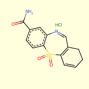 Cl.NC(=O)c1ccc2c(c1)N=CC1=C(C=CCC1)S2(=O)=O